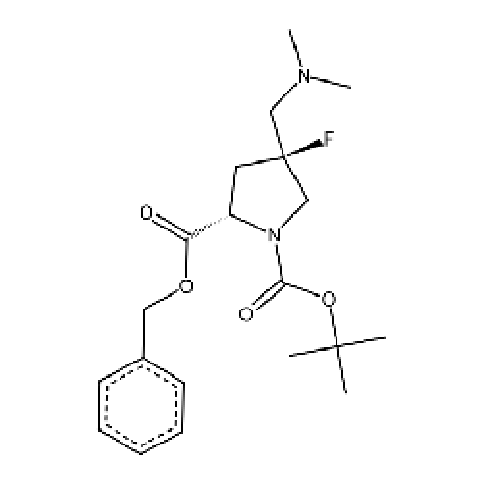 CN(C)C[C@@]1(F)C[C@@H](C(=O)OCc2ccccc2)N(C(=O)OC(C)(C)C)C1